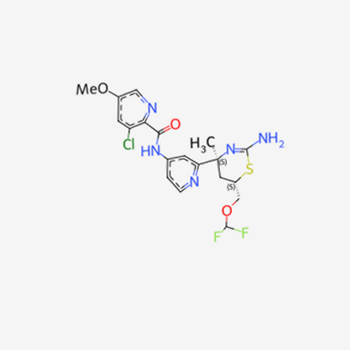 COc1cnc(C(=O)Nc2ccnc([C@]3(C)C[C@@H](COC(F)F)SC(N)=N3)c2)c(Cl)c1